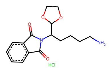 Cl.NCCCCC(C1OCCO1)N1C(=O)c2ccccc2C1=O